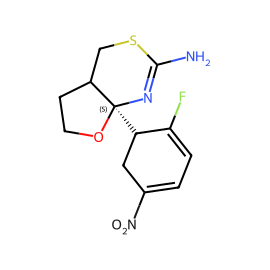 NC1=N[C@@]2(C3CC([N+](=O)[O-])=CC=C3F)OCCC2CS1